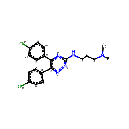 CCN(CC)CCCNc1nnc(-c2ccc(Cl)cc2)c(-c2ccc(Cl)cc2)n1